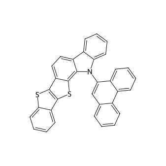 c1ccc2c(c1)cc(-n1c3ccccc3c3ccc4c5sc6ccccc6c5sc4c31)c1ccccc12